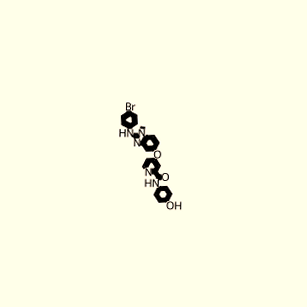 Cn1c(Nc2ccc(Br)cc2)nc2cc(Oc3ccnc(C(=O)NC4CCC(O)CC4)c3)ccc21